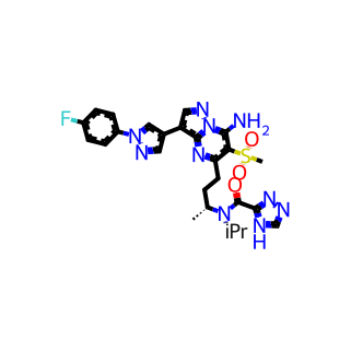 CC(C)N(C(=O)c1nnc[nH]1)[C@H](C)CCc1nc2c(-c3cnn(-c4ccc(F)cc4)c3)cnn2c(N)c1S(C)(=O)=O